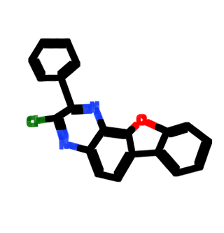 Clc1nc2ccc3c4ccccc4oc3c2nc1-c1ccccc1